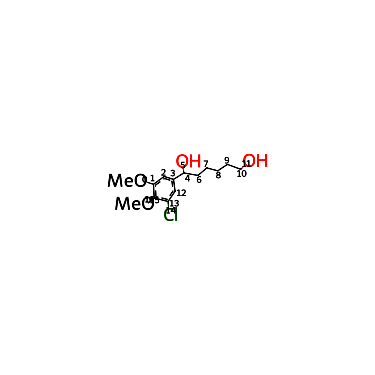 COc1cc(C(O)CCCCCO)cc(Cl)c1OC